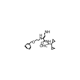 N=C/C=C(\NCCOCc1ccccc1)C(=O)NC(C=O)C(C1CC1)C1CC1